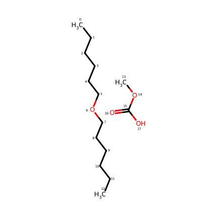 CCCCCCOCCCCCC.COC(=O)O